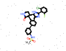 CS(=O)(=O)Nc1cccc(-c2ccc3c(c2)c2c(=O)[nH]ccc2c2[nH]c(-c4c(F)cccc4Cl)nc32)c1